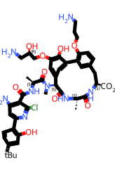 C[C@@H]1NC(=O)[C@@H](N(C)C(=O)[C@H](C)NC(=O)c2c(N)cc(-c3ccc(C(C)(C)C)cc3O)nc2Cl)c2cc(OC[C@H](O)CN)c(O)c(c2)-c2cc(ccc2OCCCN)C[C@@H](C(=O)O)NC1=O